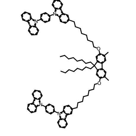 CCCCCCCCC1(CCCCCCCC)c2cc(OCCCCCCCCc3ccc4c(c3)c3ccccc3n4-c3ccc(-n4c5ccccc5c5ccccc54)cc3)c(C)cc2-c2cc(C)c(OCCCCCCCCc3ccc4c(c3)c3ccccc3n4-c3ccc(-n4c5ccccc5c5ccccc54)cc3)cc21